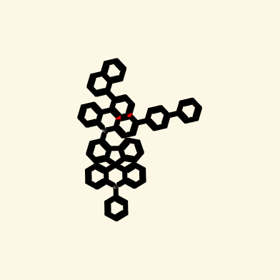 c1ccc(-c2ccc(-c3ccc(N(c4ccccc4-c4ccccc4-c4cccc5ccccc45)c4cccc5c4-c4ccccc4C54c5ccccc5N(c5ccccc5)c5ccccc54)cc3)cc2)cc1